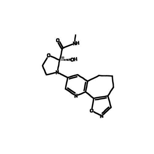 CNC(=O)[C@]1(O)OCCN1c1cnc2c(c1)CCCc1cnoc1-2